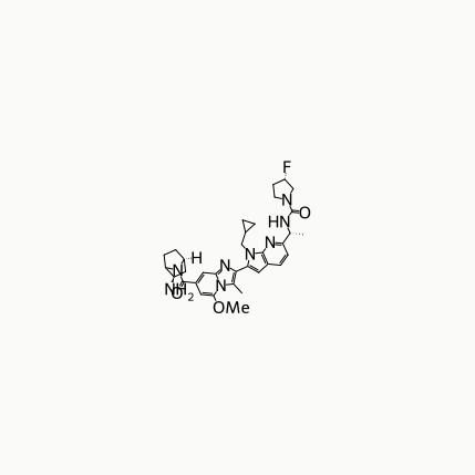 COc1cc(C(=O)N2C3CC[C@H]2C[C@H]3N)cc2nc(-c3cc4ccc([C@@H](C)NC(=O)N5CC[C@H](F)C5)nc4n3CC3CC3)c(C)n12